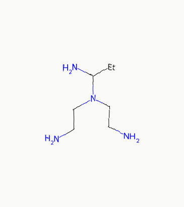 CCC(N)N(CCN)CCN